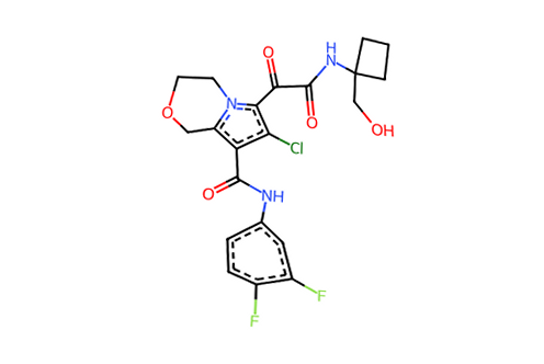 O=C(NC1(CO)CCC1)C(=O)c1c(Cl)c(C(=O)Nc2ccc(F)c(F)c2)c2n1CCOC2